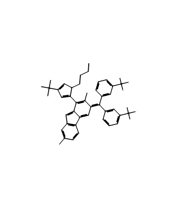 CCCCC1C=C(C(C)(C)C)C=C1c1c(C)c(=C(c2cccc(C(F)(F)F)c2)c2cccc(C(F)(F)F)c2)cc2c1=[C]c1cc(C)ccc1-2